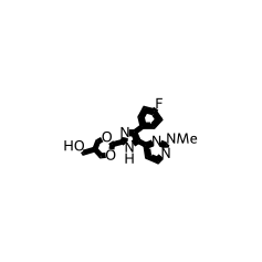 CNc1nccc(-c2[nH]c(C3OCC(CO)CO3)nc2-c2ccc(F)cc2)n1